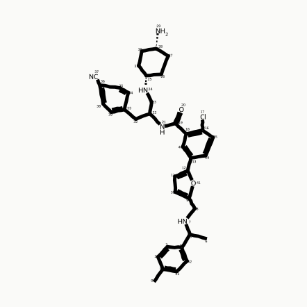 Cc1ccc(C(C)NCc2ccc(-c3ccc(Cl)c(C(=O)NC(CN[C@H]4CC[C@@H](N)CC4)Cc4ccc(C#N)cc4)c3)o2)cc1